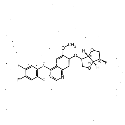 COc1cc2c(Nc3cc(F)c(F)cc3F)ncnc2cc1OC1CO[C@H]2[C@H](F)CO[C@@H]12